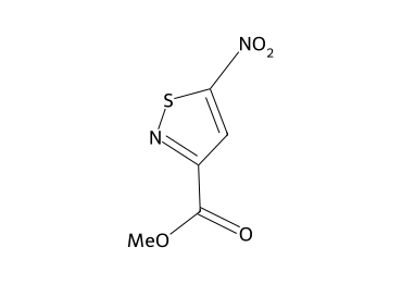 COC(=O)c1cc([N+](=O)[O-])sn1